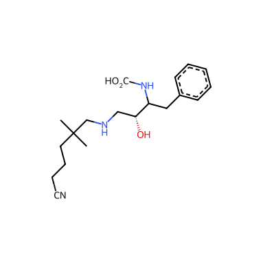 CC(C)(CCCC#N)CNC[C@@H](O)C(Cc1ccccc1)NC(=O)O